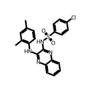 Cc1ccc(Nc2nc3ccccc3nc2NS(=O)(=O)c2ccc(Cl)cc2)c(C)c1